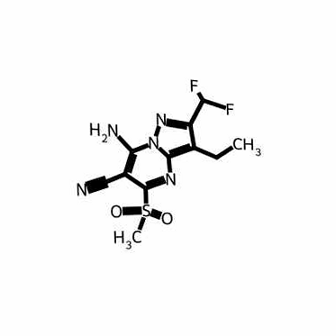 CCc1c(C(F)F)nn2c(N)c(C#N)c(S(C)(=O)=O)nc12